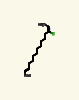 CCCCCCCCC=CCCCCCCCCC/C(Cl)=C\C(=O)O